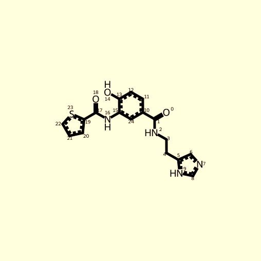 O=C(NCCc1cnc[nH]1)c1ccc(O)c(NC(=O)c2cccs2)c1